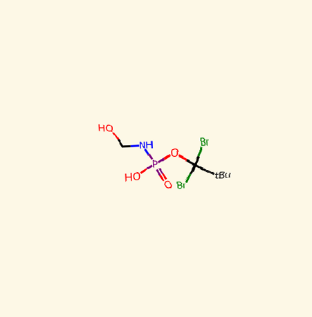 CC(C)(C)C(Br)(Br)OP(=O)(O)NCO